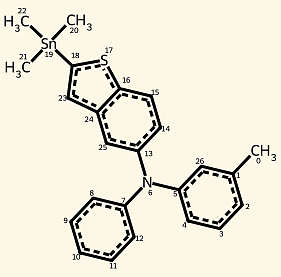 Cc1cccc(N(c2ccccc2)c2ccc3s[c]([Sn]([CH3])([CH3])[CH3])cc3c2)c1